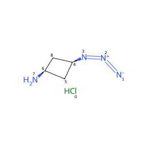 Cl.[N-]=[N+]=N[C@H]1C[C@@H](N)C1